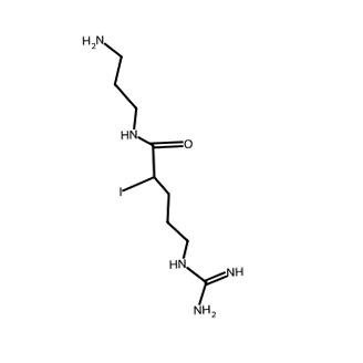 N=C(N)NCCCC(I)C(=O)NCCCN